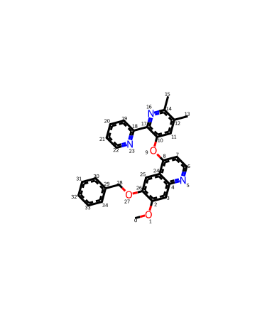 COc1cc2nccc(Oc3cc(C)c(C)nc3-c3ccccn3)c2cc1OCc1ccccc1